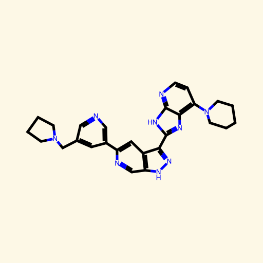 c1cc(N2CCCCC2)c2nc(-c3n[nH]c4cnc(-c5cncc(CN6CCCC6)c5)cc34)[nH]c2n1